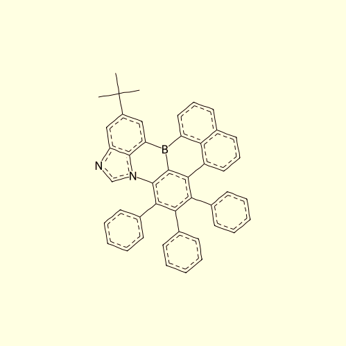 CC(C)(C)c1cc2c3c(c1)ncn3-c1c3c(c(-c4ccccc4)c(-c4ccccc4)c1-c1ccccc1)-c1cccc4cccc(c14)B32